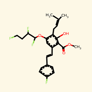 COC(=O)c1c(C=Cc2ccc(F)cc2)cc(OC(F)C(F)CCF)c(CC=C(C)C)c1O